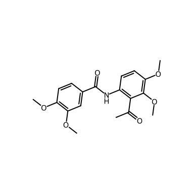 COc1ccc(C(=O)Nc2ccc(OC)c(OC)c2C(C)=O)cc1OC